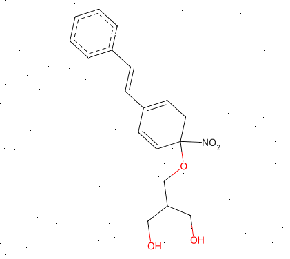 O=[N+]([O-])C1(OCC(CO)CO)C=CC(C=Cc2ccccc2)=CC1